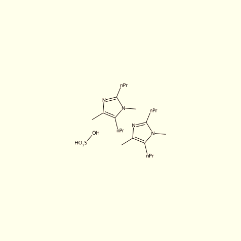 CCCc1nc(C)c(CCC)n1C.CCCc1nc(C)c(CCC)n1C.O=S(=O)(O)O